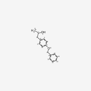 CC(O)Cc1ccc(OCc2ccccc2)cc1